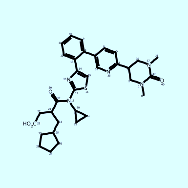 CN1CC(c2ccc(-c3ccccc3-c3csc(N(C(=O)C(CC(=O)O)CC4CCCC4)C4CC4)n3)cn2)CN(C)C1=O